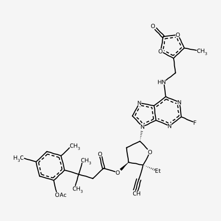 C#C[C@]1(CC)O[C@@H](n2cnc3c(NCc4oc(=O)oc4C)nc(F)nc32)C[C@@H]1OC(=O)CC(C)(C)c1c(C)cc(C)cc1OC(C)=O